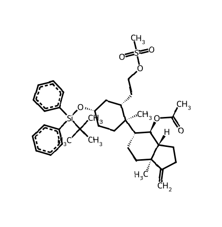 C=C1CC[C@H]2[C@H](OC(C)=O)[C@@H]([C@@]3(C)CC[C@H](O[Si](c4ccccc4)(c4ccccc4)C(C)(C)C)C[C@@H]3CCOS(C)(=O)=O)CC[C@]12C